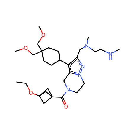 CCOC12CC(C(=O)N3CCn4nc(CN(C)CCNC)c(C5CCC(COC)(COC)CC5)c4C3)(C1)C2